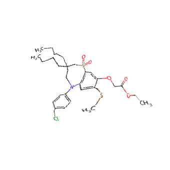 CCCCC1(CCCC)CN(c2ccc(Cl)cc2)c2cc(SC)c(OCC(=O)OCC)cc2S(=O)(=O)C1